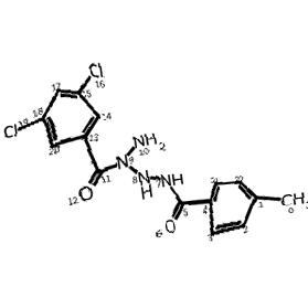 Cc1ccc(C(=O)NNN(N)C(=O)c2cc(Cl)cc(Cl)c2)cc1